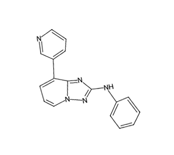 c1ccc(Nc2nc3c(-c4cccnc4)cccn3n2)cc1